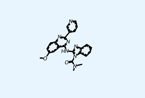 COc1ccc2nc(-c3cccnc3)nc(Nc3nc4ccccc4n3C(=O)N(C)C)c2c1